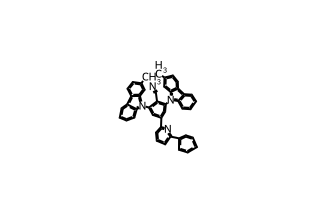 Cc1ccc2c3ccccc3n(-c3cc(-c4cccc(-c5ccccc5)n4)cc(-n4c5ccccc5c5ccc(C)cc54)c3C#N)c2c1